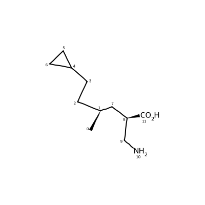 C[C@@H](CCC1CC1)C[C@H](CN)C(=O)O